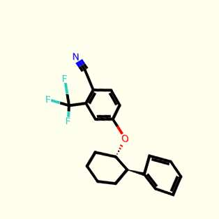 N#Cc1ccc(O[C@H]2CCCC[C@@H]2c2ccccc2)cc1C(F)(F)F